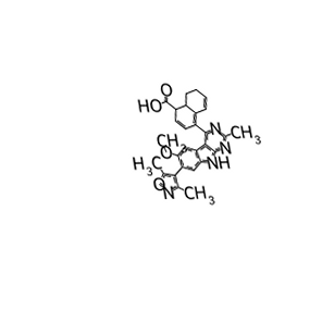 COc1cc2c(cc1-c1c(C)noc1C)[nH]c1nc(C)nc(C3=C4C=CCCC4C(C(=O)O)C=C3)c12